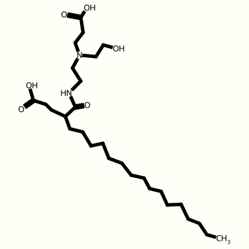 CCCCCCCCCCCCCCCCC(CCC(=O)O)C(=O)NCCN(CCO)CCC(=O)O